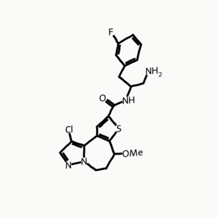 COC1CCn2ncc(Cl)c2-c2cc(C(=O)NC(CN)Cc3cccc(F)c3)sc21